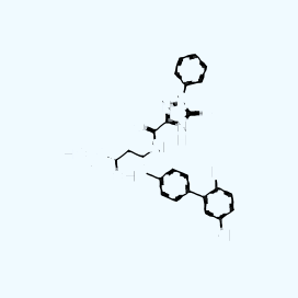 O=C(N[C@H](Cc1ccc(-c2cc(Cl)ccc2F)cc1)C[C@@H](O)C(=O)O)c1nn(-c2ccccc2)c(=O)[nH]1